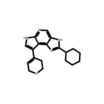 C1=C(c2c[nH]c3ncc4[nH]c(C5CCCCC5)nc4c23)CCOC1